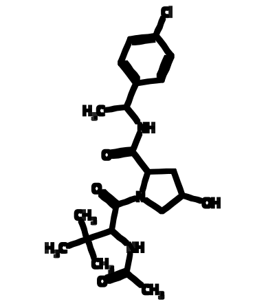 CC(=O)NC(C(=O)N1CC(O)CC1C(=O)NC(C)c1ccc(Cl)cc1)C(C)(C)C